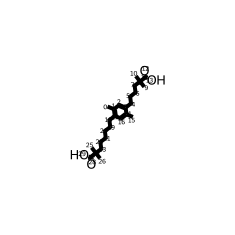 Cc1cc(CCCCC(C)(C)C(=O)O)c(C)cc1CCCCCCC(C)(C)C(=O)O